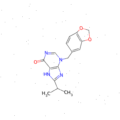 CC(C)c1nc2c([nH]1)c(=O)ncn2Cc1ccc2c(c1)OCO2